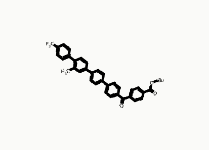 CCC(C)OC(=O)c1ccc(C(=O)c2ccc(-c3ccc(-c4ccc(-c5ccc(C(F)(F)F)cc5)c(C)c4)cc3)cc2)cc1